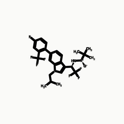 CC(C)Cn1cc([C@H](N[S@@+]([O-])C(C)(C)C)C(F)(F)F)c2ccc(-c3ccc(F)cc3C(F)(F)F)cc21